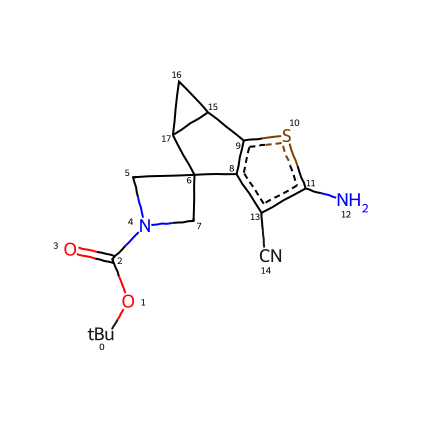 CC(C)(C)OC(=O)N1CC2(C1)c1c(sc(N)c1C#N)C1CC12